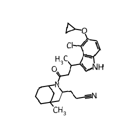 CC(CC(=O)N1C(CCC#N)CC2(C)CCCC1C2)c1c[nH]c2ccc(OC3CC3)c(Cl)c12